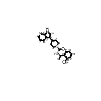 CC(NC(=O)N1CC=C(c2c[nH]c3ncccc23)CC1)c1ccccc1Cl